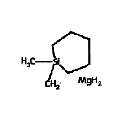 [CH2][Si]1(C)CCCCC1.[MgH2]